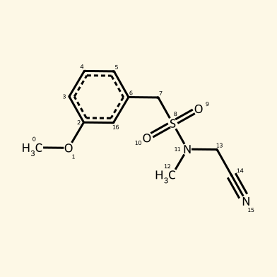 COc1cccc(CS(=O)(=O)N(C)CC#N)c1